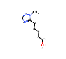 Cn1ncnc1CCCCCO